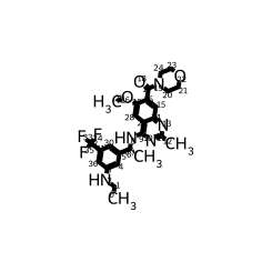 CCNc1cc([C@@H](C)Nc2nc(C)nc3cc(C(=O)N4CCOCC4)c(OC)cc23)cc(C(F)(F)F)c1